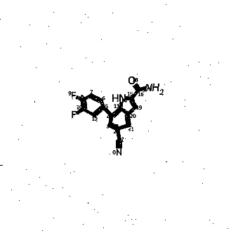 N#Cc1cc(-c2ccc(F)c(F)c2)c2[nH]c(C(N)=O)cc2c1